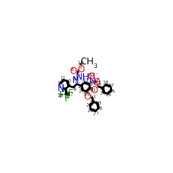 CCOC(=O)N/N=C(/Cc1cccnc1C(F)(F)F)c1cc(OCc2ccccc2)c(OCc2ccccc2)c([N+](=O)[O-])c1